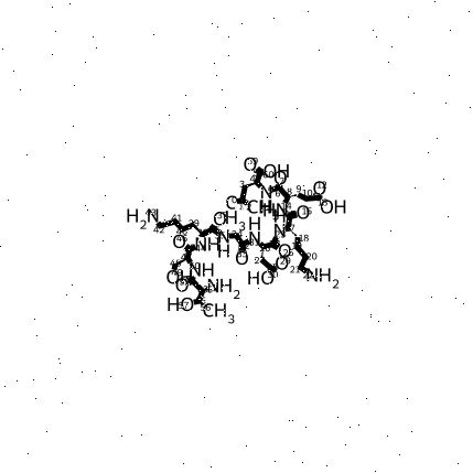 CC(C)C[C@H](NC(=O)[C@H](CCC(=O)O)NC(=O)[C@H](CCCCN)NC(=O)[C@H](CC(=O)O)NC(=O)CNC(=O)[C@H](CCCCN)NC(=O)[C@H](CO)NC(=O)[C@@H](N)[C@@H](C)O)C(=O)O